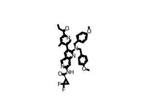 CCC(=O)c1cc(C)c(-c2cc3cnc(NC(=O)[C@H]4CC4(F)F)cc3nc2N(Cc2ccc(OC)cc2)Cc2ccc(OC)cc2)cn1